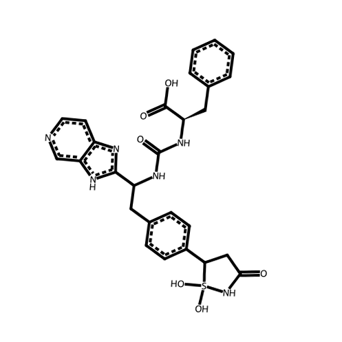 O=C1CC(c2ccc(CC(NC(=O)N[C@H](Cc3ccccc3)C(=O)O)c3nc4ccncc4[nH]3)cc2)S(O)(O)N1